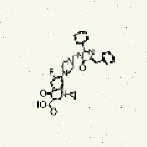 O=C(O)c1cn(C2CC2)c2cc(N3CCN(CN4C(=O)C(=Cc5ccccc5)N=C4c4ccccc4)CC3)c(F)cc2c1=O